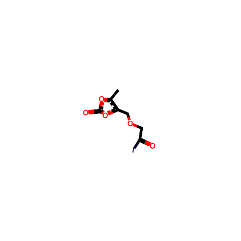 Cc1oc(=O)oc1COCC(=O)I